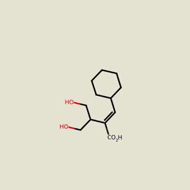 O=C(O)C(=CC1CCCCC1)C(CO)CO